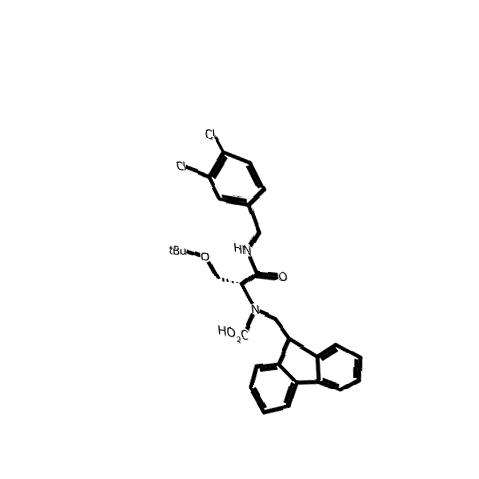 CC(C)(C)OC[C@H](C(=O)NCc1ccc(Cl)c(Cl)c1)N(CC1c2ccccc2-c2ccccc21)C(=O)O